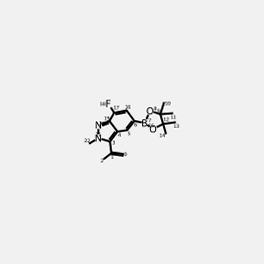 C=C(C)c1c2cc(B3OC(C)(C)C(C)(C)O3)cc(F)c2nn1C